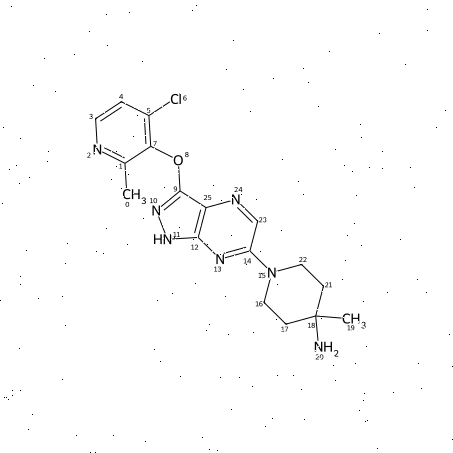 Cc1nccc(Cl)c1Oc1n[nH]c2nc(N3CCC(C)(N)CC3)cnc12